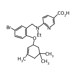 CCN(Cc1cc(Br)ccc1OC1C=C(C)CC(C)(C)C1)c1ccc(C(=O)O)cn1